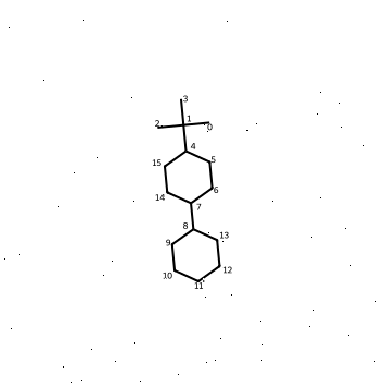 CC(C)(C)C1CCC(C2CC[CH]CC2)CC1